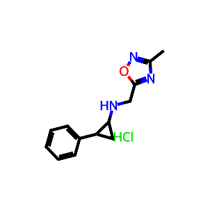 Cc1noc(CNC2CC2c2ccccc2)n1.Cl